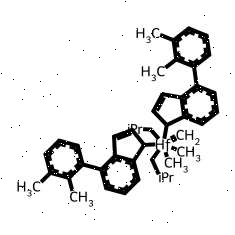 [CH2]=[Hf]([CH3])([CH3])([CH2]C(C)C)([CH2]C(C)C)([CH]1C=Cc2c(-c3cccc(C)c3C)cccc21)[CH]1C=Cc2c(-c3cccc(C)c3C)cccc21